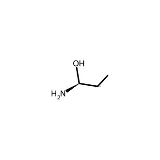 C[CH][C@@H](N)O